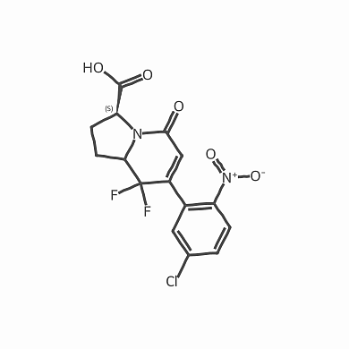 O=C(O)[C@@H]1CCC2N1C(=O)C=C(c1cc(Cl)ccc1[N+](=O)[O-])C2(F)F